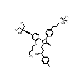 CCCCOc1cc(C#CC(O)(CO)CO)ccc1[C@@H]1C(CC[C@H](O)c2ccc(F)cc2)C(=O)N1c1ccc(CCCNS(C)(=O)=O)cc1